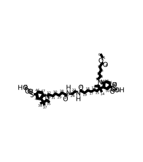 CCOC(=O)CCCCC[N+]1=C(C)C(C)(CCCCCC(=O)NCCNC(=O)CCCCC[N+]2=C(C)C(C)(C)c3cc(SOOO)ccc32)c2cc(S(=O)(=O)O)ccc21